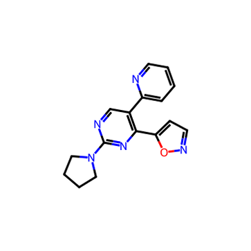 c1ccc(-c2cnc(N3CCCC3)nc2-c2ccno2)nc1